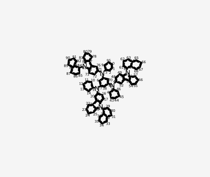 c1ccc(N(c2cc(N(c3ccccc3)c3ccc4c(c3)c3ccccc3n4-c3cccc4ccccc34)cc(N(c3ccccc3)c3ccc4c(c3)c3ccccc3n4-c3cccc4ccccc34)c2)c2ccc3c(c2)c2ccccc2n3-c2cccc3ccccc23)cc1